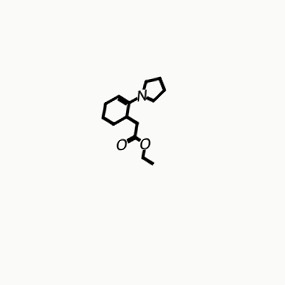 CCOC(=O)CC1CCCC=C1N1CCCC1